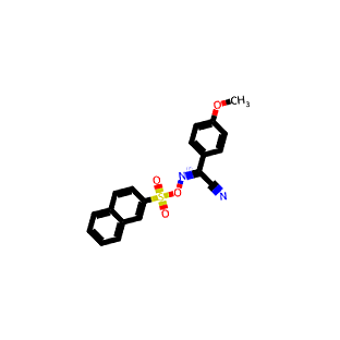 COc1ccc(/C(C#N)=N/OS(=O)(=O)c2ccc3ccccc3c2)cc1